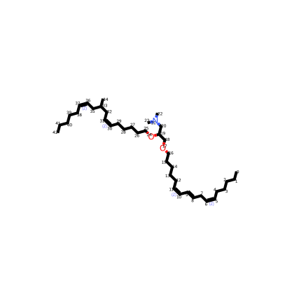 CCCCC/C=C\CC=C/C=C\CCCCCOCC(CN(C)C)OCCCCC/C=C\CC(C)C/C=C\CCCCC